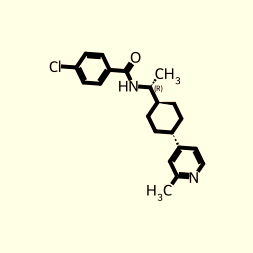 Cc1cc([C@H]2CC[C@H]([C@@H](C)NC(=O)c3ccc(Cl)cc3)CC2)ccn1